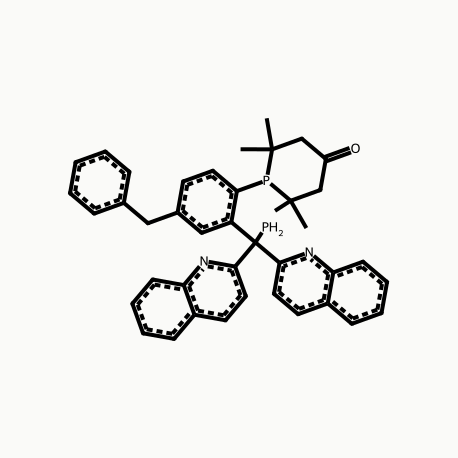 CC1(C)CC(=O)CC(C)(C)P1c1ccc(Cc2ccccc2)cc1C(P)(c1ccc2ccccc2n1)c1ccc2ccccc2n1